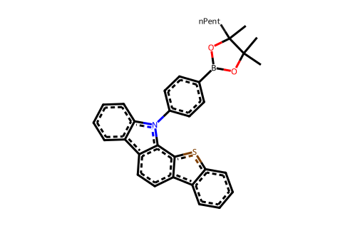 CCCCCC1(C)OB(c2ccc(-n3c4ccccc4c4ccc5c6ccccc6sc5c43)cc2)OC1(C)C